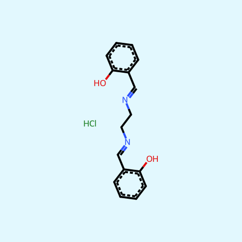 Cl.Oc1ccccc1C=NCCN=Cc1ccccc1O